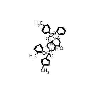 Cc1ccc(S(=O)(=O)N2C[C@H]3C(=O)C[C@@H](c4ccccc4)N(S(=O)(=O)c4ccc(C)cc4)[C@H]3C[C@H]2c2cccc(C)c2)cc1